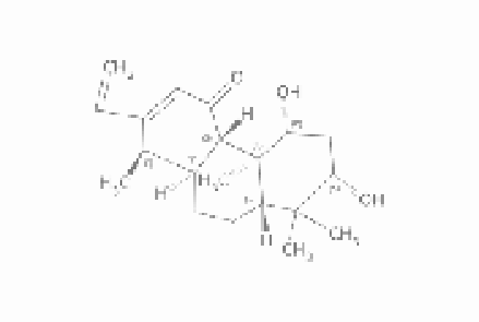 C=CC1=CC(=O)[C@H]2[C@@H](CC[C@H]3C(C)(C)[C@@H](O)C[C@@H](O)[C@]23C)[C@H]1C